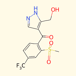 CS(=O)(=O)c1cc(C(F)(F)F)ccc1C(=O)c1cn[nH]c1CO